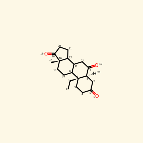 CC[C@]12CCC(=O)C[C@@H]1C(=O)CC1C2CC[C@]2(C)C(=O)CCC12